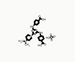 CN(C)c1cc[n+](-c2nc(Nc3ccc(C(=O)O)cc3)nc(Nc3ccc(C(=O)O)cc3)n2)cc1.O=S(=O)([O-])O